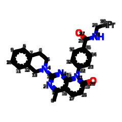 Cc1nc(N2CCc3ccccc3C2)nc2c1ccc(=O)n2-c1ccc(C(=O)NCC(C)C)cc1